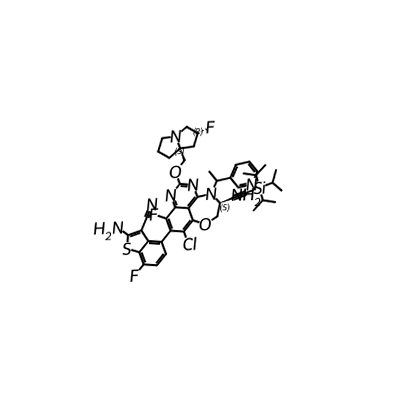 CC(c1cccnc1N)N1c2nc(OC[C@@]34CCCN3C[C@H](F)C4)nc3c(F)c(-c4ccc(F)c5sc(N)c(C#N)c45)c(Cl)c(c23)OC[C@@H]1C#C[Si](C(C)C)(C(C)C)C(C)C